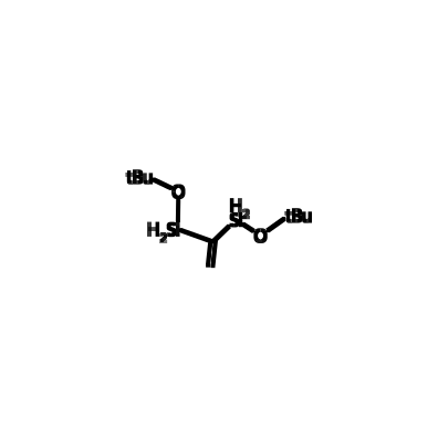 C=C([SiH2]OC(C)(C)C)[SiH2]OC(C)(C)C